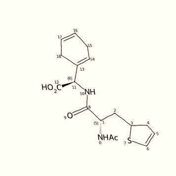 CC(=O)N[C@@H](CC1CC=CS1)C(=O)N[C@@H](C(=O)O)C1=CCC=CC1